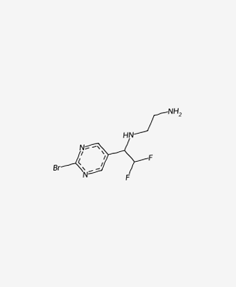 NCCNC(c1cnc(Br)nc1)C(F)F